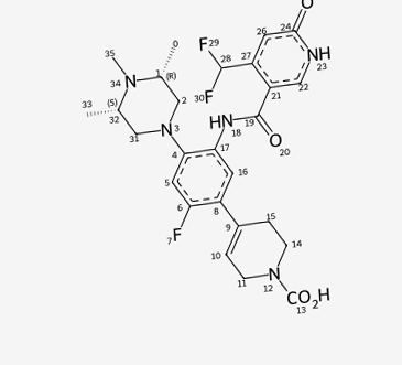 C[C@@H]1CN(c2cc(F)c(C3=CCN(C(=O)O)CC3)cc2NC(=O)c2c[nH]c(=O)cc2C(F)F)C[C@H](C)N1C